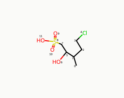 CC(CCCl)C(O)CS(=O)(=O)O